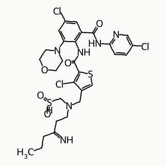 CCCC(=N)CCN(Cc1csc(C(=O)Nc2c(C(=O)Nc3ccc(Cl)cn3)cc(Cl)cc2N2CCOCC2)c1Cl)C[SH](=O)=O